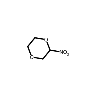 O=[N+]([O-])C1COCCO1